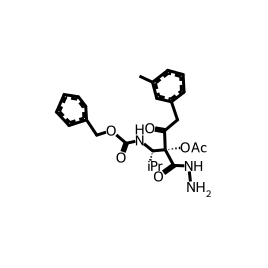 CC(=O)O[C@](C(=O)Cc1cccc(C)c1)(C(=O)NN)[C@@H](NC(=O)OCc1ccccc1)C(C)C